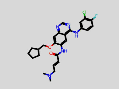 CN(C)CC=CC(=O)Nc1cc2c(Nc3ccc(F)c(Cl)c3)ncnc2cc1OCC1CCCC1